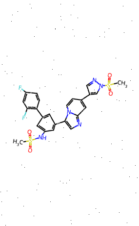 CS(=O)(=O)Nc1cc(-c2ccc(F)cc2F)cc(-c2cnc3cc(-c4cnn(S(C)(=O)=O)c4)ccn23)c1